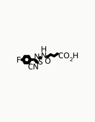 N#Cc1sc(NC(=O)CCCC(=O)O)nc1-c1ccc(F)cc1